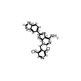 Nc1ncn(Cc2c(Cl)cncc2Cl)c2nc(-c3ccc4ncsc4c3)nc1-2